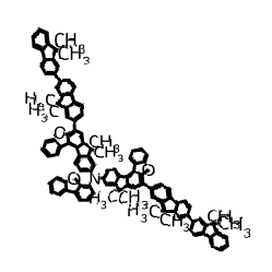 CC1(C)c2ccccc2-c2ccc(-c3ccc4c(c3)C(C)(C)c3cc(-c5cc6c(c7c5oc5ccccc57)-c5ccc(N(c7ccc8c(c7)C(C)(C)c7cc(-c9ccc%10c(c9)C(C)(C)c9cc(-c%11ccc%12c(c%11)C(C)(C)c%11ccccc%11-%12)ccc9-%10)c9oc%10ccccc%10c9c7-8)c7cccc8c7oc7ccccc78)cc5C6(C)C)ccc3-4)cc21